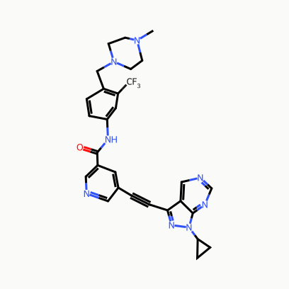 CN1CCN(Cc2ccc(NC(=O)c3cncc(C#Cc4nn(C5CC5)c5ncncc45)c3)cc2C(F)(F)F)CC1